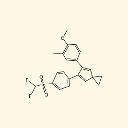 COc1ccc(C2=CC3(C=C2c2ccc(S(=O)(=O)C(F)F)cc2)CC3)cc1C